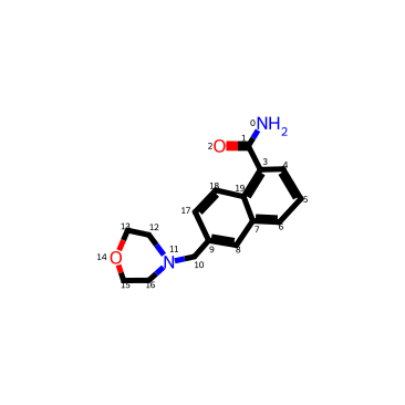 NC(=O)c1cccc2cc(CN3CCOCC3)ccc12